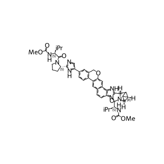 COC(=O)N[C@H](C(=O)N1CCC[C@H]1c1ncc(-c2ccc3c(c2)COc2cc4c(ccc5nc([C@@H]6C7C8[C@H]7[C@@H]8N6C(=O)[C@@H](NC(=O)OC)C(C)C)[nH]c54)cc2-3)[nH]1)C(C)C